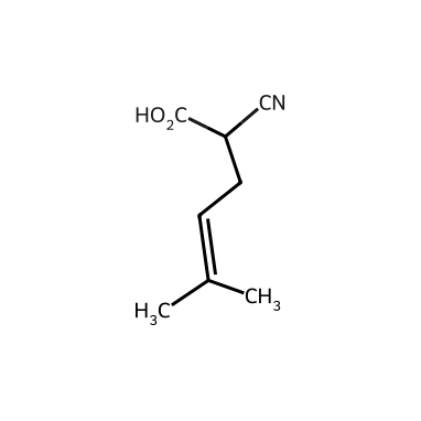 CC(C)=CCC(C#N)C(=O)O